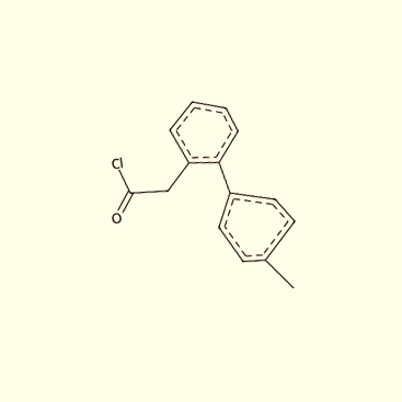 Cc1ccc(-c2ccccc2CC(=O)Cl)cc1